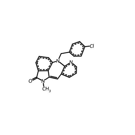 CN1C(=O)c2cccc3c2C1=Cc1cccnc1N3Cc1ccc(Cl)cc1